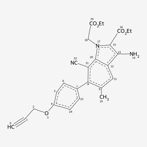 C#CCOc1ccc(-c2c(C)cc3c(N)c(C(=O)OCC)n(CC(=O)OCC)c3c2C#N)cc1